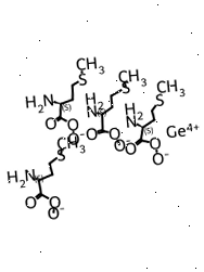 CSCC[C@H](N)C(=O)O[O-].CSCC[C@H](N)C(=O)O[O-].CSCC[C@H](N)C(=O)O[O-].CSCC[C@H](N)C(=O)O[O-].[Ge+4]